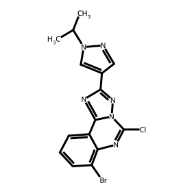 CC(C)n1cc(-c2nc3c4cccc(Br)c4nc(Cl)n3n2)cn1